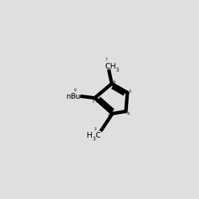 CCCCC1=C(C)CC=C1C